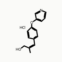 CC(=Cc1ccc(Oc2cccnc2)cc1)CO.Cl